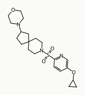 O=S(=O)(c1ccc(OC2CC2)cn1)N1CCC2(CCC(N3CCOCC3)C2)CC1